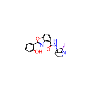 O=C(NC1C2CCN(CC2)C1I)c1cccc2oc(-c3ccccc3O)nc12